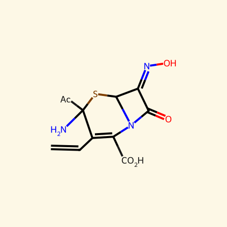 C=CC1=C(C(=O)O)N2C(=O)C(=NO)C2SC1(N)C(C)=O